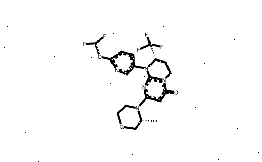 C[C@@H]1COCCN1c1cc(=O)n2c(n1)N(c1ccc(OC(F)F)nc1)[C@H](C(F)(F)F)CC2